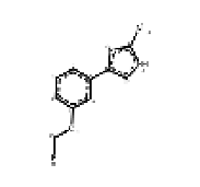 Nc1nc(-c2cccc(OCF)c2)c[nH]1